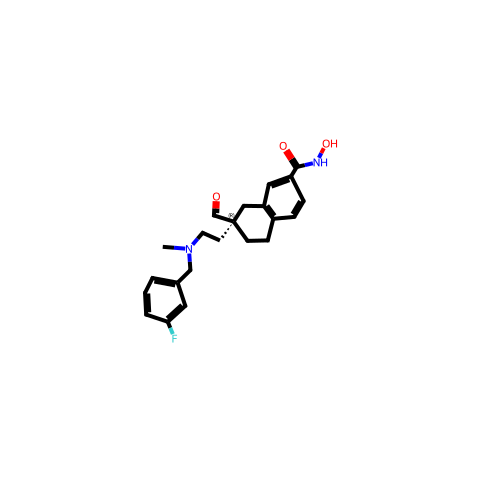 CN(CC[C@@]1(C=O)CCc2ccc(C(=O)NO)cc2C1)Cc1cccc(F)c1